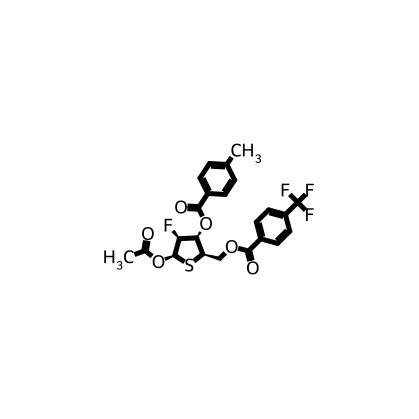 CC(=O)O[C@@H]1S[C@H](COC(=O)c2ccc(C(F)(F)F)cc2)[C@@H](OC(=O)c2ccc(C)cc2)[C@@H]1F